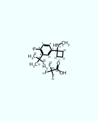 CNC1(c2ccc(F)c(C(C)(C)C)c2)CCC1.O=C(O)C(F)(F)F